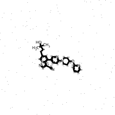 CC(C)(O)CCc1cc(-c2ccc(N3CCC(Oc4ccccn4)CC3)nc2)c2c(C#N)cnn2c1